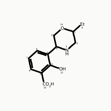 CCC1CNC(c2cccc(C(=O)O)c2O)CO1